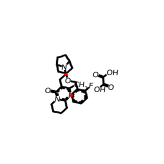 Cc1nc2n(c(=O)c1CCN1C3CCC1CC(OCc1ccccc1F)C3)CCCC2.O=C(O)C(=O)O